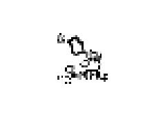 O=C(O)NC/C(=C/F)Cn1ncn(-c2ccc(Br)cc2)c1=O